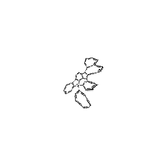 Cn1c2ccc3ccccc3c2c2ccc3c(c21)[Si](c1ccccc1)(c1ccccc1)c1ccccc1-3